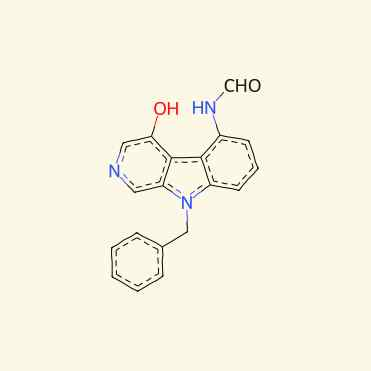 O=CNc1cccc2c1c1c(O)cncc1n2Cc1ccccc1